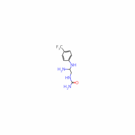 NC(=O)NCC(N)Nc1ccc(C(F)(F)F)cc1